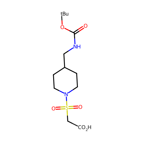 CC(C)(C)OC(=O)NCC1CCN(S(=O)(=O)CC(=O)O)CC1